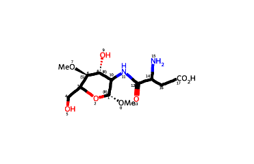 CO[C@@H]1OC(CO)[C@@H](OC)[C@H](O)C1NC(=O)C(N)CC(=O)O